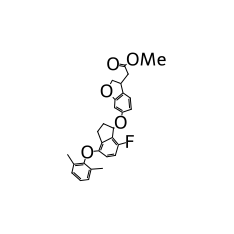 COC(=O)CC1COc2cc(O[C@@H]3CCc4c(Oc5c(C)cccc5C)ccc(F)c43)ccc21